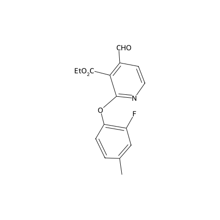 CCOC(=O)c1c(C=O)ccnc1Oc1ccc(C)cc1F